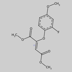 COC(=O)/C=C(\Oc1ccc(OC)cc1F)C(=O)OC